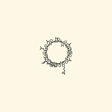 C/C=C/C[C@@H](C)[C@@H](O)[C@H]1C(=O)N[C@H](CC)C(=O)N(C)[C@H](COCCCN(C)C)C(=O)N(C)[C@@H](CC(C)C)C(=O)N[C@H](C(C)C)C(=O)N(C)[C@H](CC(C)C)C(=O)N[C@H](C)C(=O)N[C@@H](C)C(=O)N(C)[C@@H](CC(C)C)C(=O)N(C)[C@H](CCC(C)C)C(=O)N(C)[C@H](C(C)C)C(=O)N1C